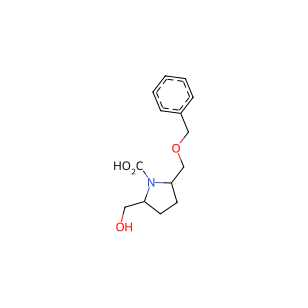 O=C(O)N1C(CO)CCC1COCc1ccccc1